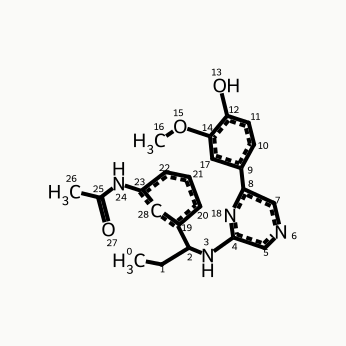 CCC(Nc1cncc(-c2ccc(O)c(OC)c2)n1)c1cccc(NC(C)=O)c1